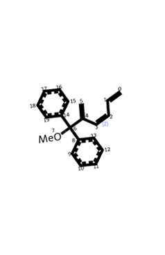 C=C/C=C\C(=C)C(OC)(c1ccccc1)c1ccccc1